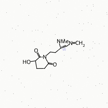 C=N/C=C(/CCN1C(=O)CCC(O)C1=O)NC